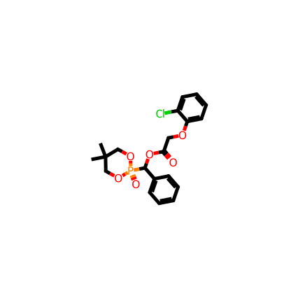 CC1(C)COP(=O)(C(OC(=O)COc2ccccc2Cl)c2ccccc2)OC1